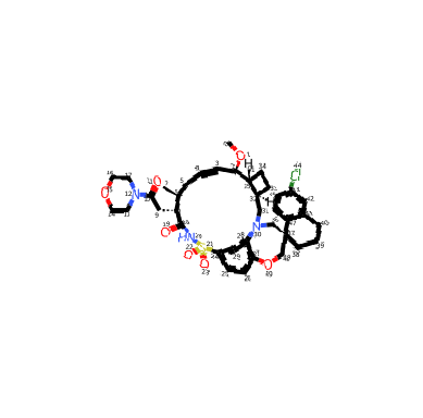 CO[C@@H]1C=CC[C@H](C)[C@@H](CC(=O)N2CCOCC2)C(=O)NS(=O)(=O)c2ccc3c(c2)N(C[C@@H]2CC[C@H]21)C[C@@]1(CCCc2cc(Cl)ccc21)CO3